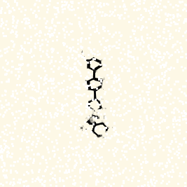 CCOc1cccc(-c2ccc(C3CCN(S(=O)(=O)C4(C(=O)NO)CCOCC4)CC3)cc2C)c1